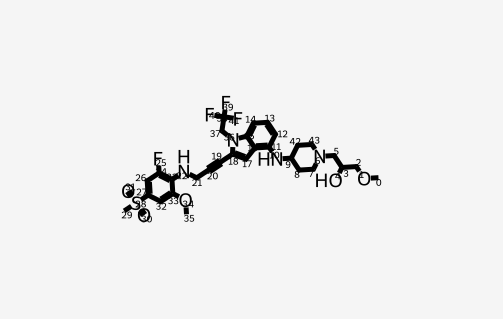 COCC(O)CN1CCC(Nc2cccc3c2cc(C#CCNc2c(F)cc(S(C)(=O)=O)cc2OC)n3CC(F)(F)F)CC1